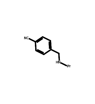 CC(C)NCc1ccc(C#N)cc1